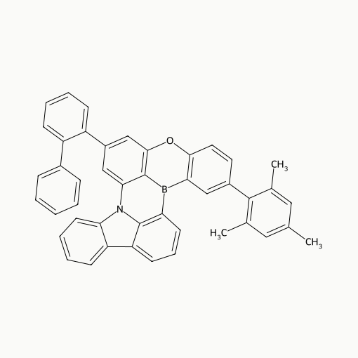 Cc1cc(C)c(-c2ccc3c(c2)B2c4c(cc(-c5ccccc5-c5ccccc5)cc4-n4c5ccccc5c5cccc2c54)O3)c(C)c1